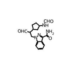 NC(=O)c1nn(CC(C=O)C2CCC(NC=O)C2)c2ccccc12